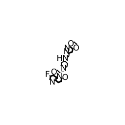 O=c1ccc2ncc(F)c3c2n1[C@@H](CN1CCC(NCc2cc4c(nn2)OCCO4)CC1)CO3